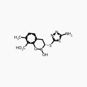 Cc1ccc2c(c1C(=O)O)OB(O)[C@@H](Sc1nnc(N)s1)C2